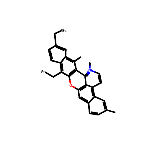 Cc1ccc2cc3c4c([n+](C)ccc4c2c1)-c1c(c(CC(C)C)c2ccc(CC(C)(C)C)cc2c1C)O3